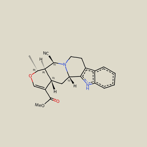 COC(=O)C1=CO[C@H](C)[C@@H]2[C@@H]1C[C@H]1c3[nH]c4ccccc4c3CCN1[C@@H]2C#N